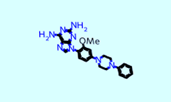 COc1cc(N2CCN(c3ccccc3)CC2)ccc1-n1cnc2c(N)nc(N)nc21